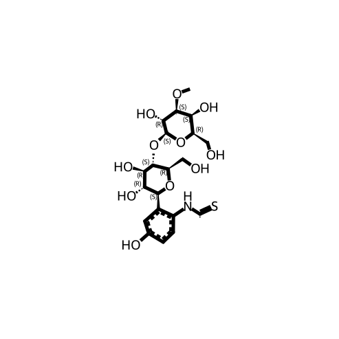 CO[C@H]1[C@@H](O)[C@@H](CO)O[C@@H](O[C@H]2[C@H](O)[C@@H](O)[C@H](c3cc(O)ccc3N[C]=S)O[C@@H]2CO)[C@@H]1O